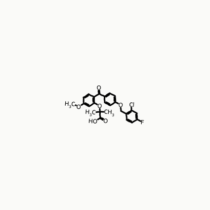 COc1ccc(C(=O)c2ccc(OCc3ccc(F)cc3Cl)cc2)c(OC(C)(C)C(=O)O)c1